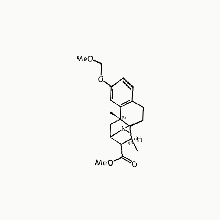 COCOc1ccc2c(c1)[C@@]1(C)CC3C(C(=O)OC)[C@H](C)C1C(C2)N3C